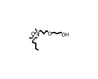 CCCC[Si](C)(C)O[Si](C)(C)CCCOCCCO